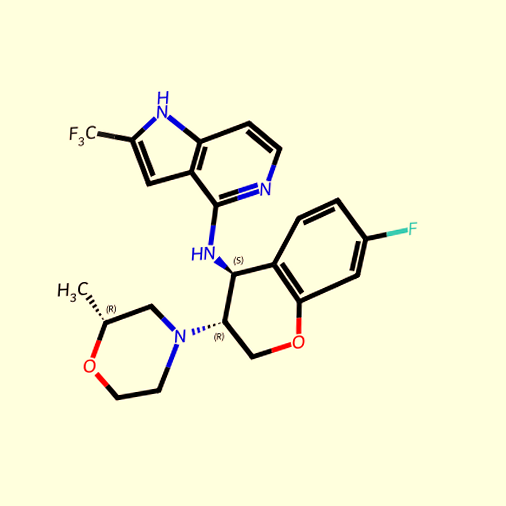 C[C@@H]1CN([C@H]2COc3cc(F)ccc3[C@@H]2Nc2nccc3[nH]c(C(F)(F)F)cc23)CCO1